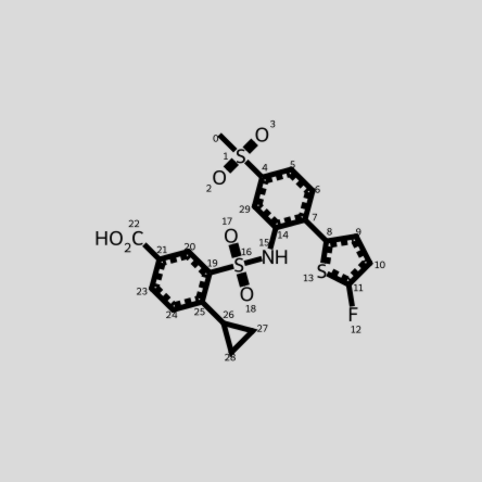 CS(=O)(=O)c1ccc(-c2ccc(F)s2)c(NS(=O)(=O)c2cc(C(=O)O)ccc2C2CC2)c1